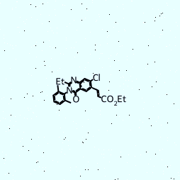 CCOC(=O)C=Cc1cc2c(=O)n(-c3c(C)cccc3C)c(CC)nc2cc1Cl